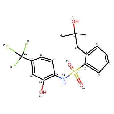 CC(C)(O)Cc1ccccc1S(=O)(=O)Nc1ccc(C(F)(F)F)cc1O